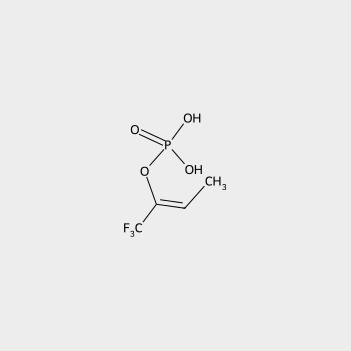 CC=C(OP(=O)(O)O)C(F)(F)F